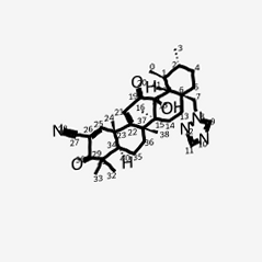 C[C@H]1[C@H](C)CC[C@]2(Cn3cncn3)CC[C@]3(C)C(O)(C(=O)C=C4[C@@]5(C)C=C(C#N)C(=O)C(C)(C)[C@@H]5CC[C@]43C)[C@H]12